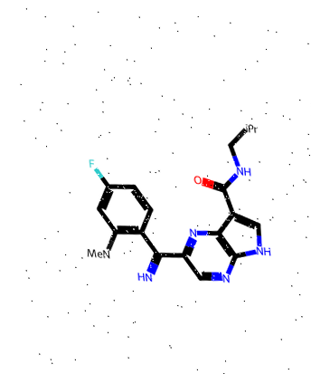 CNc1cc(F)ccc1C(=N)c1cnc2[nH]cc(C(=O)NCC(C)C)c2n1